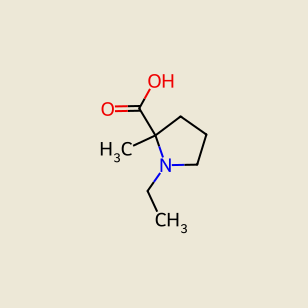 CCN1CCCC1(C)C(=O)O